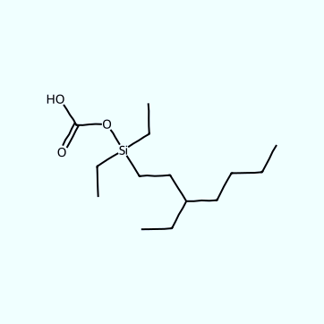 CCCCC(CC)CC[Si](CC)(CC)OC(=O)O